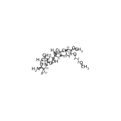 COCCCOc1cc(C[C@@H](C[C@H](N)[C@@H](O)C[C@H](C(=O)NCC2(C(N)=O)CC2)C(C)C)C(C)C)ccc1OC